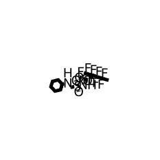 CC(F)(F)C(F)(F)C(F)(F)C(F)(F)S(=O)(=O)NS(=O)(=O)CNC1CCCCC1